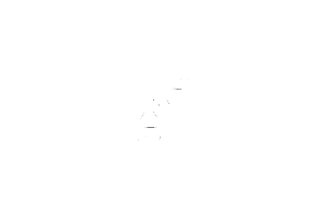 CC1=C(C(=O)Nc2ccc(Cl)c(C(=O)OC(C)C)c2)OCCO1